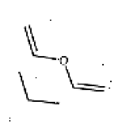 C=COC=C.CCC